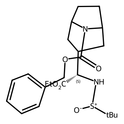 CCOC(=O)[C@@H](N[S+]([O-])C(C)(C)C)C1CC2CCC(C1)N2C(=O)OCc1ccccc1